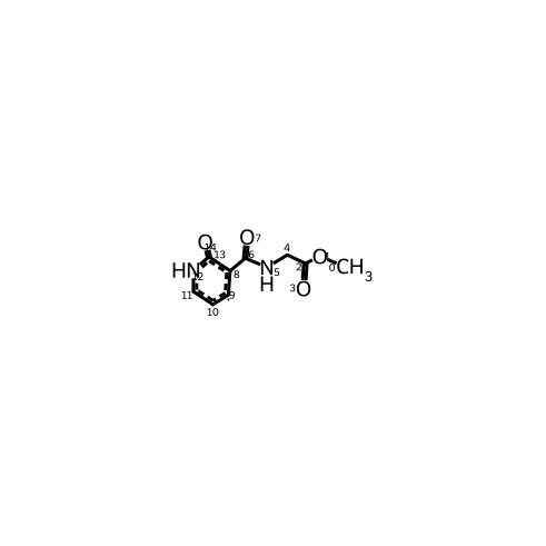 COC(=O)CNC(=O)c1[c]cc[nH]c1=O